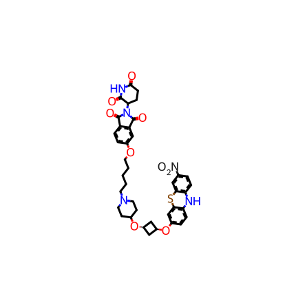 O=C1CCC(N2C(=O)c3ccc(OCCCCCN4CCC(O[C@H]5C[C@H](Oc6ccc7c(c6)Sc6cc([N+](=O)[O-])ccc6N7)C5)CC4)cc3C2=O)C(=O)N1